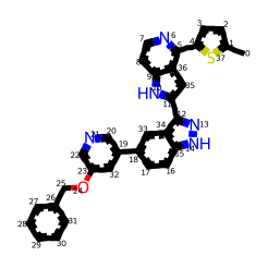 Cc1ccc(-c2nccc3[nH]c(-c4n[nH]c5ccc(-c6cncc(OCc7ccccc7)c6)cc45)cc23)s1